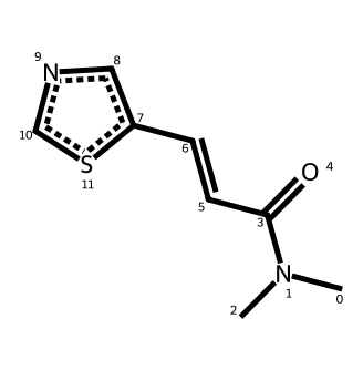 CN(C)C(=O)C=Cc1cncs1